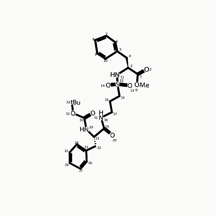 COC(=O)[C@H](Cc1ccccc1)NS(=O)(=O)CCCNC(=O)[C@H](Cc1ccccc1)NC(=O)OC(C)(C)C